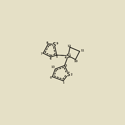 c1csc([Si]2(c3cccs3)CCC2)c1